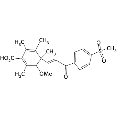 COC1C(C)=C(C(=O)O)C(C)=C(C)C1(C)C=CC(=O)c1ccc(S(C)(=O)=O)cc1